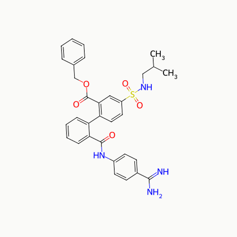 CC(C)CNS(=O)(=O)c1ccc(-c2ccccc2C(=O)Nc2ccc(C(=N)N)cc2)c(C(=O)OCc2ccccc2)c1